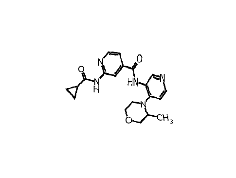 CC1COCCN1c1ccncc1NC(=O)c1ccnc(NC(=O)C2CC2)c1